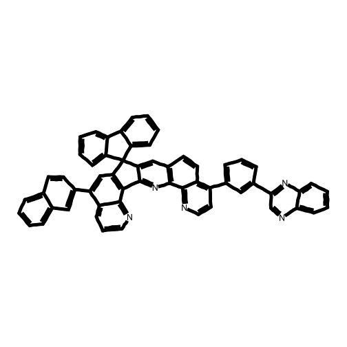 c1cc(-c2cnc3ccccc3n2)cc(-c2ccnc3c2ccc2cc4c(nc23)-c2c(cc(-c3ccc5ccccc5c3)c3cccnc23)C42c3ccccc3-c3ccccc32)c1